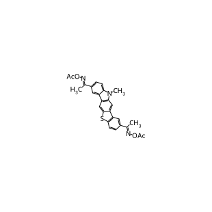 CC(=O)O/N=C(\C)c1ccc2sc3cc4c5cc(/C(C)=N/OC(C)=O)ccc5n(C)c4cc3c2c1